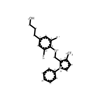 OCCCc1cc(F)c(OCc2c(C(F)(F)F)ccn2-c2ccccc2)c(F)c1